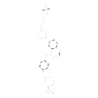 Cc1cc(NC2NC=Nc3ccc(C4CCC(CNCCS(C)(=O)=O)O4)cc32)ccc1OC1CCN2NCNC2C1